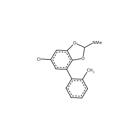 CNC1Oc2cc(Cl)cc(-c3ccccc3C)c2O1